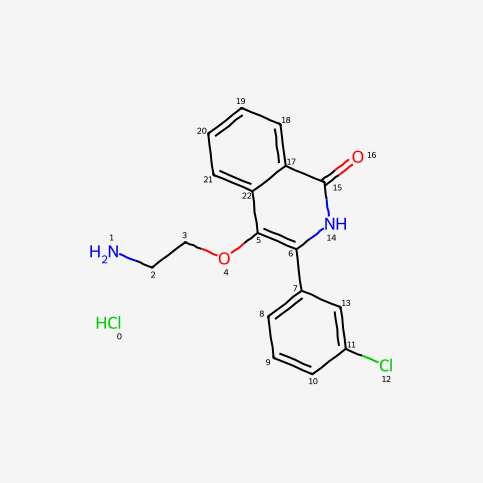 Cl.NCCOc1c(-c2cccc(Cl)c2)[nH]c(=O)c2ccccc12